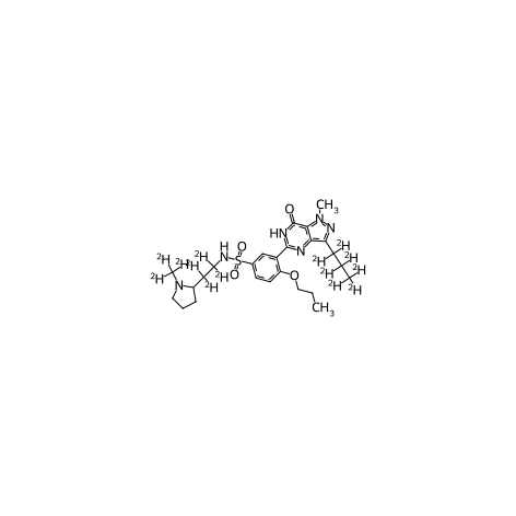 [2H]C([2H])([2H])N1CCCC1C([2H])([2H])C([2H])([2H])NS(=O)(=O)c1ccc(OCCC)c(-c2nc3c(C([2H])([2H])C([2H])([2H])C([2H])([2H])[2H])nn(C)c3c(=O)[nH]2)c1